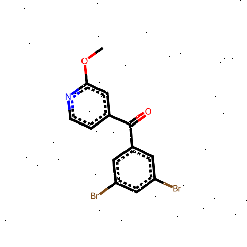 COc1cc(C(=O)c2cc(Br)cc(Br)c2)ccn1